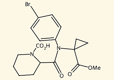 COC(=O)C1(N(C(=O)C2CCCCN2C(=O)O)c2ccc(Br)cc2)CC1